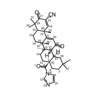 CC1(C)CC[C@]2(C(=O)n3ccnc3)CC[C@]3(C)[C@H](C(=O)C=C4[C@@]5(C)C=C(C#N)C(=O)C(C)(C)C5CC[C@]43C)[C@H]2C1